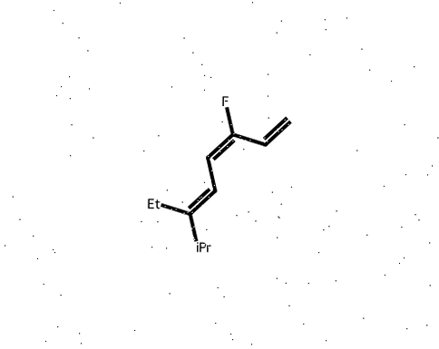 C=C/C(F)=C\C=C(/CC)C(C)C